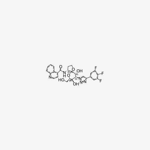 O=C(N[C@@H]1CCO[C@]12O[C@H](CO)[C@H](O)[C@H](n1cc(-c3cc(F)c(F)c(F)c3)nn1)[C@H]2O)c1ccnc2ccccc12